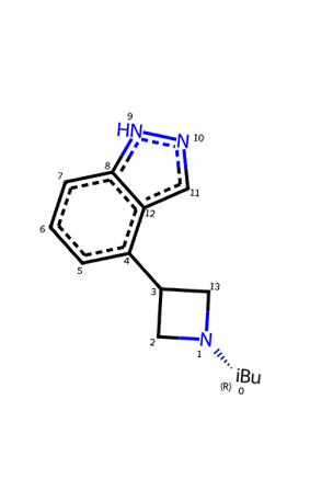 CC[C@@H](C)N1CC(c2cccc3[nH]ncc23)C1